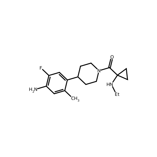 CCNC1(C(=O)N2CCC(c3cc(F)c(N)cc3C)CC2)CC1